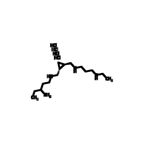 CCNCCCNC[C@@H]1C[C@H]1CNCCC(N)CC.Cl.Cl.Cl.Cl